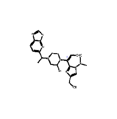 CCC1CN(C(C)c2ccc3ncsc3n2)CCN1/C(=C/C=O)c1nc(CC#N)cn1N(C)C